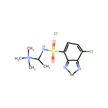 CC(NS(=O)(=O)c1ccc(Cl)c2n[se]nc12)[N+](C)(C)C.[Cl-]